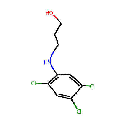 OCCCNc1cc(Cl)c(Cl)cc1Cl